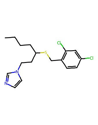 CCCCC(CCn1ccnc1)SCc1ccc(Cl)cc1Cl